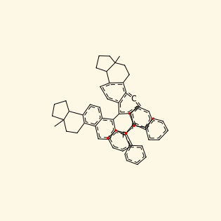 CC12CCCC1c1ccc3c(-c4c(P(c5ccccc5)c5ccccc5)ccc5c6c(ccc45)C4CCCC4(C)CC6)c(P(c4ccccc4)c4ccccc4)ccc3c1CC2